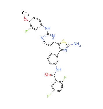 COc1ccc(Nc2nccc(-c3sc(N)nc3-c3cccc(NC(=O)c4cc(F)ccc4F)c3)n2)cc1F